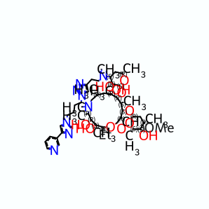 CC[C@H]1OC(=O)[C@H](C)[C@@H](O[C@H]2C[C@@](C)(OC)[C@@H](O)[C@H](C)O2)[C@H](C)[C@@H](O[C@@H]2O[C@H](C)C[C@H](N(C)CCc3cn(CCCCn4cnc(-c5cccnc5)c4)nn3)[C@H]2O)[C@](C)(O)C[C@@H](C)CN(C)[C@H](C)[C@@H](O)[C@]1(C)O